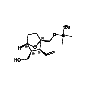 C=C[C@H]1[C@@H](CO)[C@@H]2CC[C@@]1(CO[Si](C)(C)C(C)(C)C)O2